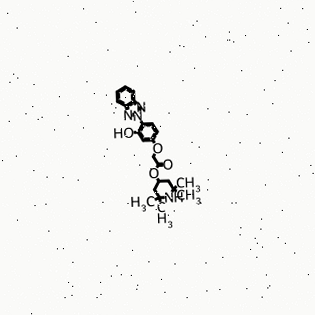 CC1(C)CC(OC(=O)COc2ccc(-n3nc4ccccc4n3)c(O)c2)CC(C)(C)N1